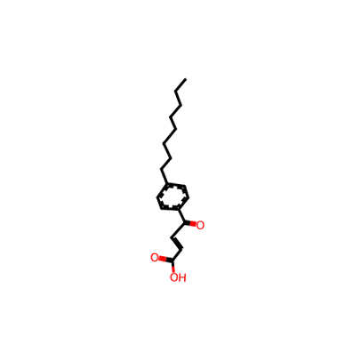 CCCCCCCCc1ccc(C(=O)C=CC(=O)O)cc1